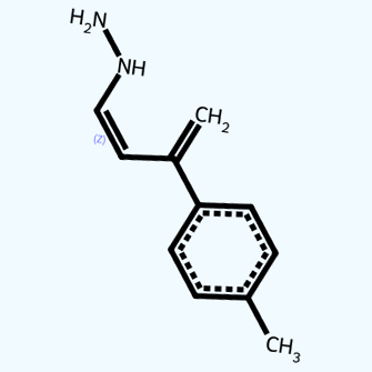 C=C(/C=C\NN)c1ccc(C)cc1